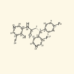 O=C(C[C@H](c1ccc(F)cc1)c1ccncc1F)Nc1cncc(F)c1I